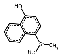 C[S+](C)c1ccc(O)c2ccccc12